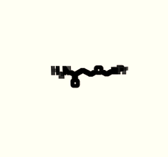 CCCCOCCC(N)=O